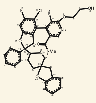 CNC(=O)c1cnc(OCCO)c(F)c1-c1c(Cl)c(F)cc2c1C[C@](c1ccccc1)(C1CCC3(CN1)Cc1ccccc1O3)O2